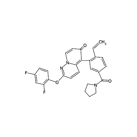 C=Cc1ccc(C(=O)N2CCCC2)cc1-c1c(=O)ccn2nc(Oc3ccc(F)cc3F)ccc12